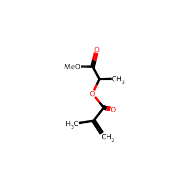 C=C(C)C(=O)OC(C)C(=O)OC